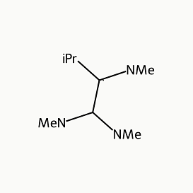 CN[C](C(C)C)C(NC)NC